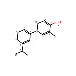 CC1=CC(C2=CCCC(C(C)C)=C2)CC=C1O